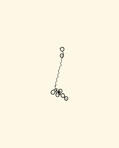 COc1ccc(S(=O)(=O)n2cc(/C=C/CCCCCCCCCCCCCCOCc3ccccc3)c3ccccc32)cc1